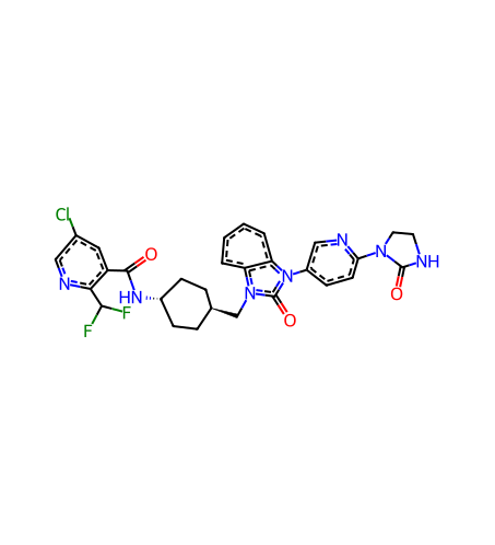 O=C(N[C@H]1CC[C@H](Cn2c(=O)n(-c3ccc(N4CCNC4=O)nc3)c3ccccc32)CC1)c1cc(Cl)cnc1C(F)F